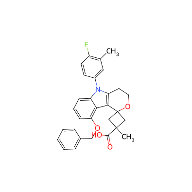 Cc1cc(-n2c3c(c4c(OCc5ccccc5)cccc42)C2(CC(C)(C(=O)O)C2)OCC3)ccc1F